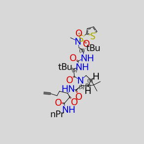 C#CCCC(NC(=O)[C@@H]1[C@@H]2[C@H](CN1C(=O)[C@@H](NC(=O)N[C@H](CN(C)S(=O)(=O)c1cccs1)C(C)(C)C)C(C)(C)C)C2(C)C)C(=O)C(=O)NCCC